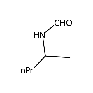 CCCC(C)NC=O